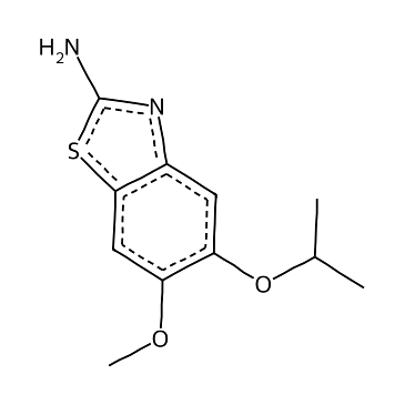 COc1cc2sc(N)nc2cc1OC(C)C